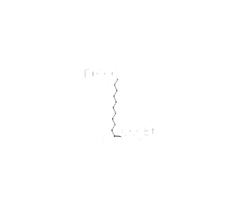 CCOC(=O)CCCCCCCCCCC(CC)C(CC)C(=O)OCC